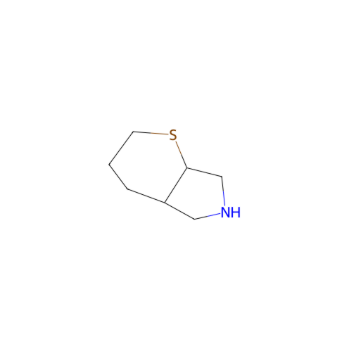 C1CSC2CNCC2C1